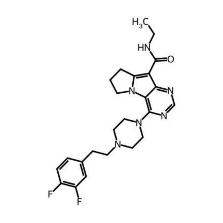 CCNC(=O)c1c2n(c3c(N4CCN(CCc5ccc(F)c(F)c5)CC4)ncnc13)CCC2